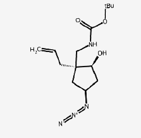 C=CC[C@@]1(CNC(=O)OC(C)(C)C)CC(N=[N+]=[N-])C[C@@H]1O